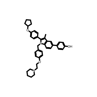 Cc1c(-c2ccc(OC3CCCC3)cc2)n(Cc2ccc(OCCN3CCCCC3)cc2)c2ccc(-c3ccc(O)cc3)cc12